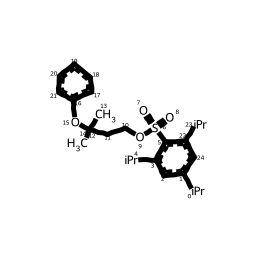 CC(C)c1cc(C(C)C)c(S(=O)(=O)OCCC(C)(C)Oc2ccccc2)c(C(C)C)c1